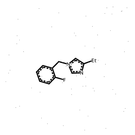 CCc1cn(Cc2ccccc2F)cn1